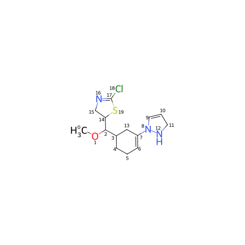 COC(C1CCC=C(N2C=CCN2)C1)C1CN=C(Cl)S1